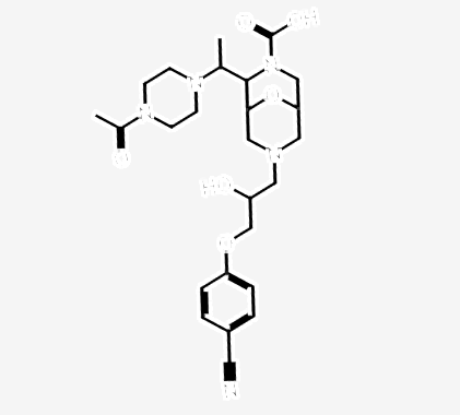 CC(=O)N1CCN(C(C)C2C3CN(CC(O)COc4ccc(C#N)cc4)CC(CN2C(=O)O)O3)CC1